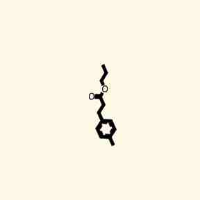 CCCOC(=O)CCc1ccc(C)cc1